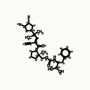 CC(C)(/C=C(\C#N)C(=O)N1CCC[C@]1(C)COC(=O)N[C@@H](Cc1ccccc1)B(O)O)N1C[C@@H](F)[C@@H](F)C1